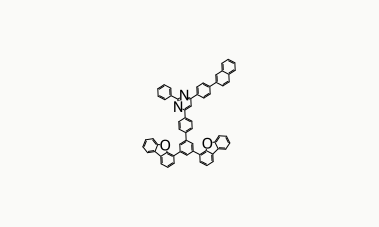 c1ccc(-c2nc(-c3ccc(-c4cc(-c5cccc6c5oc5ccccc56)cc(-c5cccc6c5oc5ccccc56)c4)cc3)cc(-c3ccc(-c4ccc5ccccc5c4)cc3)n2)cc1